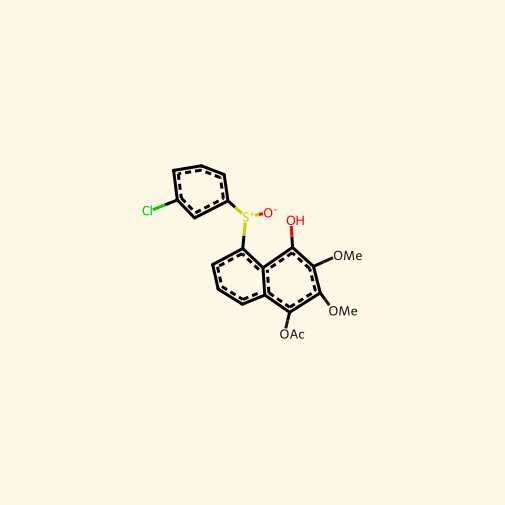 COc1c(OC)c(O)c2c([S+]([O-])c3cccc(Cl)c3)cccc2c1OC(C)=O